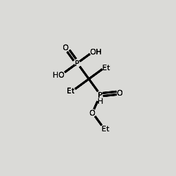 CCO[PH](=O)C(CC)(CC)P(=O)(O)O